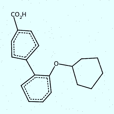 O=C(O)c1ccc(-c2ccccc2OC2CCCCC2)cc1